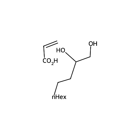 C=CC(=O)O.CCCCCCCCC(O)CO